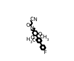 Cc1cc(-c2ccc(F)cc2)cc(C)c1C1C(=O)CC2(CC1=O)CN(C(=O)CCC#N)C2